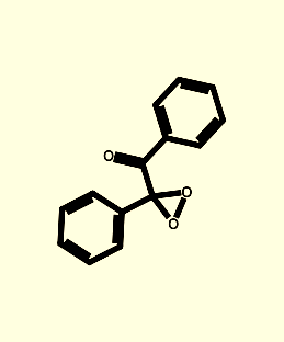 O=C(c1ccccc1)C1(c2ccccc2)OO1